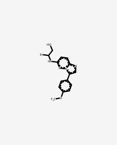 CCC(CO)Nc1ccc2ncc(-c3ccc(OC(F)(F)F)cc3)n2n1